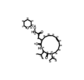 CC(C)C1NC(=O)C(CC(=O)NO[C@H]2CCCCO2)CCCC=CCCCN(C(C)C)C1=O